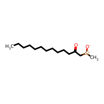 CCCCCCCCCCCC(=O)C[S+](C)[O-]